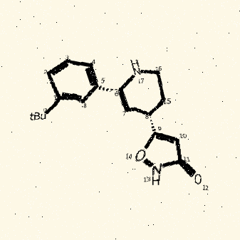 CC(C)(C)c1cccc([C@H]2C[C@@H](c3cc(=O)[nH]o3)CCN2)c1